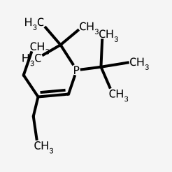 CCC(=CP(C(C)(C)C)C(C)(C)C)CC